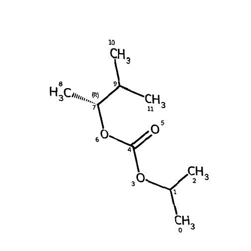 CC(C)OC(=O)O[C@H](C)C(C)C